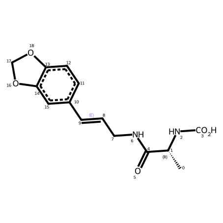 C[C@@H](NC(=O)O)C(=O)NC/C=C/c1ccc2c(c1)OCO2